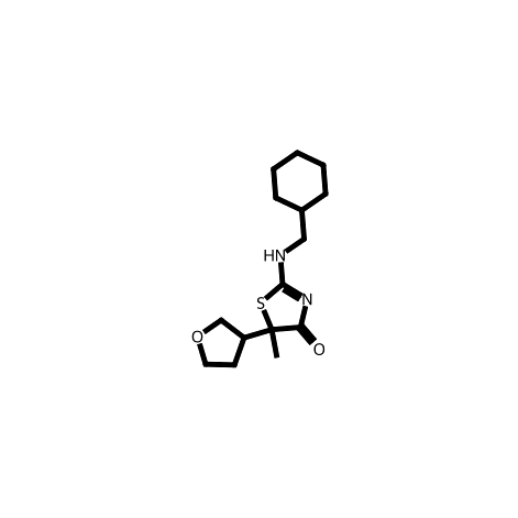 CC1(C2CCOC2)SC(NCC2CCCCC2)=NC1=O